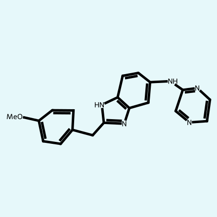 COc1ccc(Cc2nc3cc(Nc4cnccn4)ccc3[nH]2)cc1